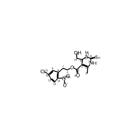 CC1=C(C(=O)OCCc2cc(Cl)ccc2[N+](=O)[O-])C(CO)NC(=S)N1